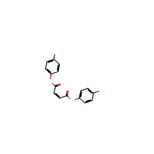 CCCCCCCc1ccc(OC(=O)/C=C\C(=O)Oc2ccc(CCCCCCC)cc2)cc1